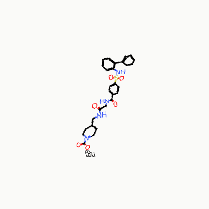 CC(C)(C)OC(=O)N1CCC(CNC(=O)CNC(=O)c2ccc(S(=O)(=O)Nc3ccccc3-c3ccccc3)cc2)CC1